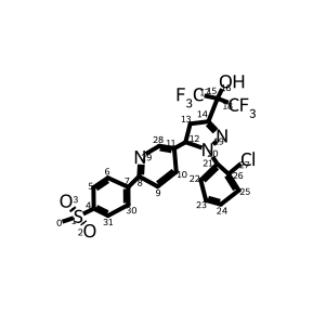 CS(=O)(=O)c1ccc(-c2ccc(C3CC(C(O)(C(F)(F)F)C(F)(F)F)=NN3c3ccccc3Cl)cn2)cc1